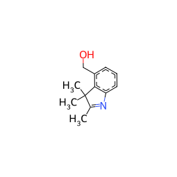 CC1=Nc2cccc(CO)c2C1(C)C